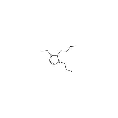 CCCCC1N(CC)C=CN1CCC